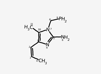 C/C=C\c1nc(N)n(CP)c1C